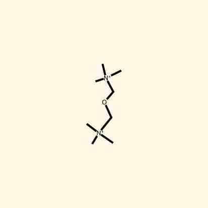 C[N+](C)(C)COC[N+](C)(C)C